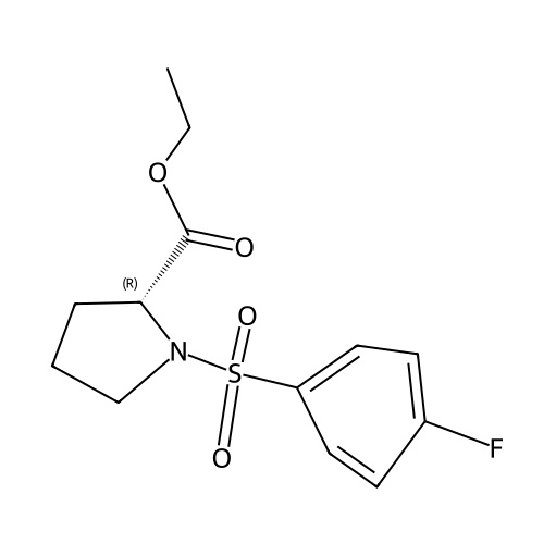 CCOC(=O)[C@H]1CCCN1S(=O)(=O)c1ccc(F)cc1